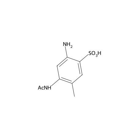 CC(=O)Nc1cc(N)c(S(=O)(=O)O)cc1C